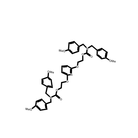 COc1ccc(CN(Cc2ccc(OC)cc2)C(=O)OCCOc2cccc(OCCOC(=O)N(Cc3ccc(OC)cc3)Cc3ccc(OC)cc3)n2)cc1